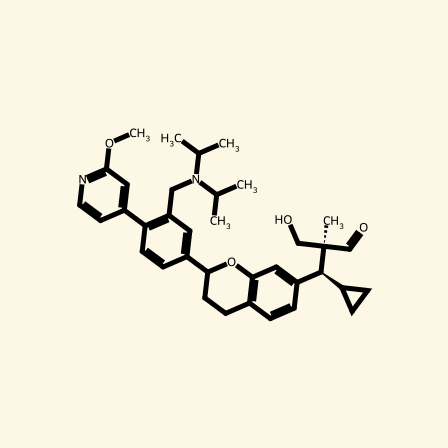 COc1cc(-c2ccc(C3CCc4ccc([C@H](C5CC5)[C@](C)(C=O)CO)cc4O3)cc2CN(C(C)C)C(C)C)ccn1